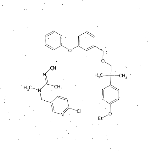 C/C(=N\C#N)N(C)Cc1ccc(Cl)nc1.CCOc1ccc(C(C)(C)COCc2cccc(Oc3ccccc3)c2)cc1